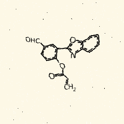 C=CC(=O)Oc1ccc(C=O)cc1-c1nc2ccccc2o1